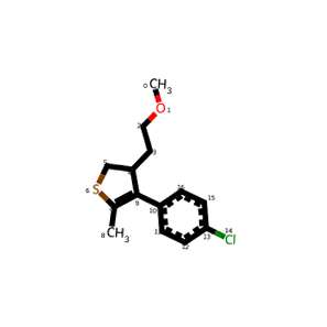 COCCC1CSC(C)=C1c1ccc(Cl)cc1